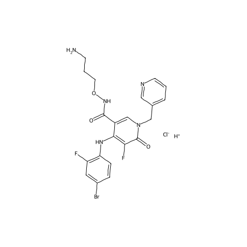 NCCCONC(=O)c1cn(Cc2cccnc2)c(=O)c(F)c1Nc1ccc(Br)cc1F.[Cl-].[H+]